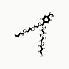 CCCCOCCOCCOC(OCCOCCOCCCC)c1ccc(CC)cc1